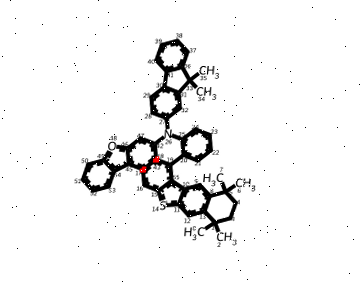 CC1(C)CCC(C)(C)c2cc3c(cc21)sc1cccc(-c2ccccc2N(c2ccc4c(c2)C(C)(C)c2ccccc2-4)c2ccc4c(c2)oc2ccccc24)c13